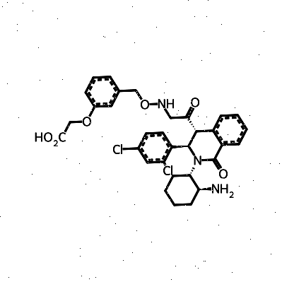 N[C@H]1CCCC[C@@H]1N1C(=O)c2ccccc2[C@@H](C(=O)CNOCc2cccc(OCC(=O)O)c2)[C@@H]1c1ccc(Cl)cc1Cl